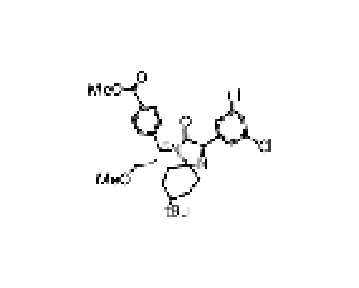 COCC[C@H](c1ccc(C(=O)OC)cc1)N1C(=O)C(c2cc(Cl)cc(Cl)c2)=NC12CCC(C(C)(C)C)CC2